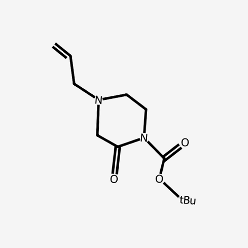 C=CCN1CCN(C(=O)OC(C)(C)C)C(=O)C1